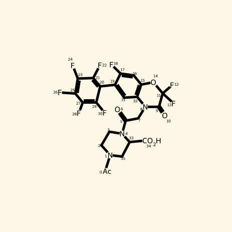 CC(=O)N1CCN(C(=O)CN2C(=O)C(F)(F)Oc3cc(F)c(-c4c(F)c(F)c(F)c(F)c4F)cc32)C(C(=O)O)C1